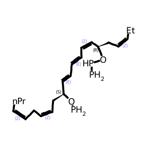 CC/C=C\C[C@H](\C=C/C=C/C=C/[C@H](C/C=C\C/C=C\CCC)OP)OPP